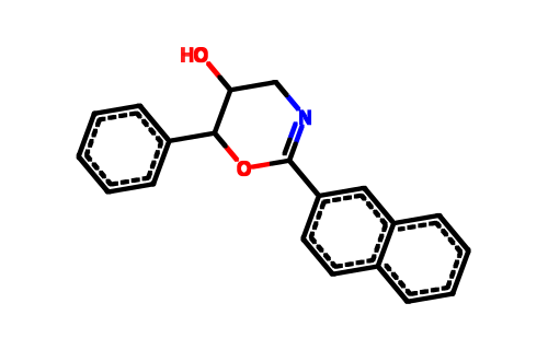 OC1CN=C(c2ccc3ccccc3c2)OC1c1ccccc1